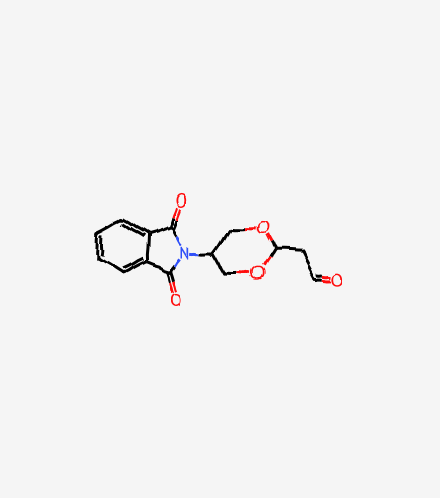 O=CCC1OCC(N2C(=O)c3ccccc3C2=O)CO1